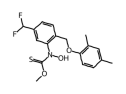 COC(=S)N(O)c1cc(C(F)F)ccc1COc1ccc(C)cc1C